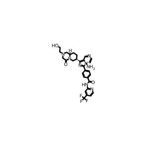 N[N+]12C=CN=CC1=C([C@@H]1CC[C@H]3CN(CCO)CC(=O)N3C1)N=C2c1ccc(C(=O)Nc2cc(C(F)(F)F)ccn2)cc1